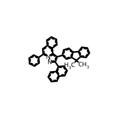 CC1(C)c2ccccc2-c2ccc(-c3c(-c4cccc5ccccc45)nn4c(-c5ccccc5)cc5ccccc5c34)cc21